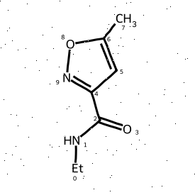 [CH2]CNC(=O)c1cc(C)on1